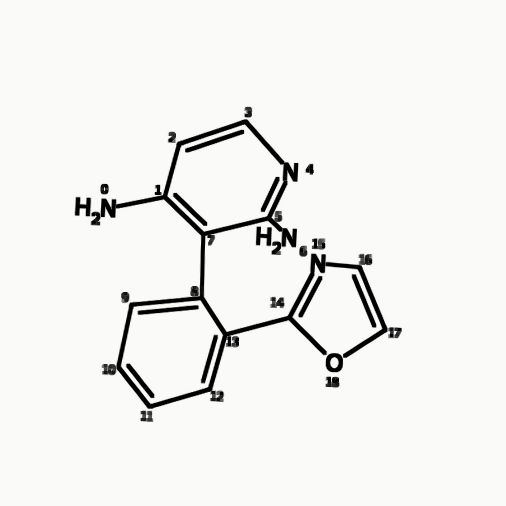 Nc1ccnc(N)c1-c1ccccc1-c1ncco1